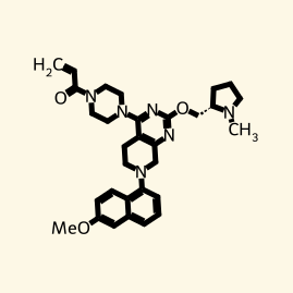 C=CC(=O)N1CCN(c2nc(OC[C@@H]3CCCN3C)nc3c2CCN(c2cccc4cc(OC)ccc24)C3)CC1